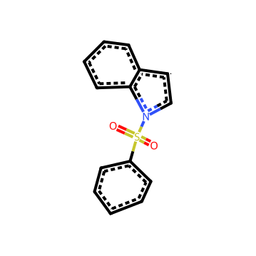 O=S(=O)(c1ccccc1)n1c[c]c2ccccc21